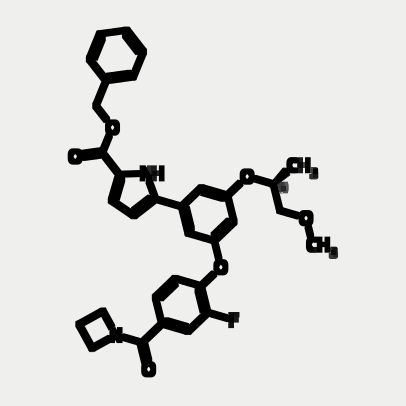 COC[C@H](C)Oc1cc(Oc2ccc(C(=O)N3CCC3)cc2F)cc(-c2ccc(C(=O)OCc3ccccc3)[nH]2)c1